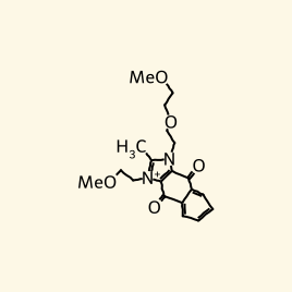 COCCOCCn1c2c([n+](CCOC)c1C)C(=O)c1ccccc1C2=O